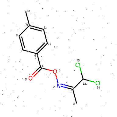 CC(=NOC(=O)c1ccc(C)cc1)C(Cl)Cl